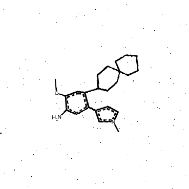 COc1cc(C2CCC3(CCCCC3)CC2)c(-c2ccn(C)c2)cc1N